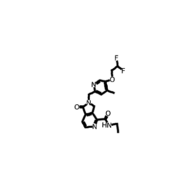 CCNC(=O)c1nccc2c1CN(Cc1cc(C)c(OCC(F)F)cn1)C2=O